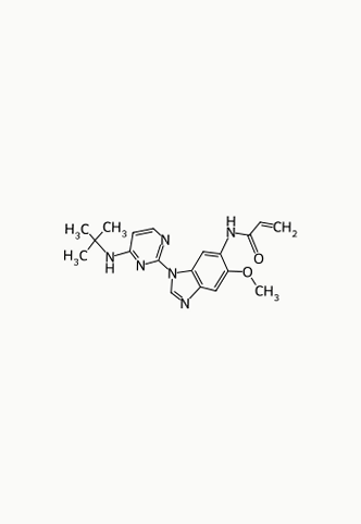 C=CC(=O)Nc1cc2c(cc1OC)ncn2-c1nccc(NC(C)(C)C)n1